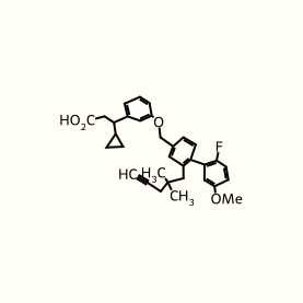 C#CCC(C)(C)Cc1cc(COc2cccc(C(CC(=O)O)C3CC3)c2)ccc1-c1cc(OC)ccc1F